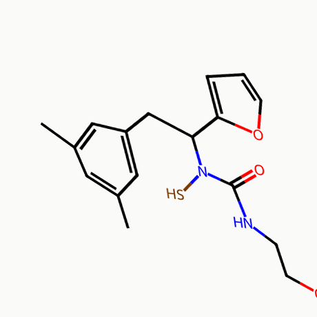 Cc1cc(C)cc(CC(c2ccco2)N(S)C(=O)NCCO)c1